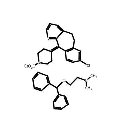 CCOC(=O)N1CCC(=C2c3ccc(Cl)cc3CCc3cccnc32)CC1.CN(C)CCOC(c1ccccc1)c1ccccc1